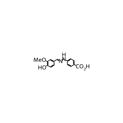 COc1cc(C=NNc2ccc(C(=O)O)cc2)ccc1O